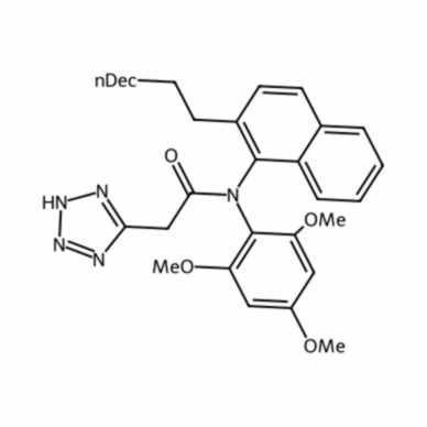 CCCCCCCCCCCCc1ccc2ccccc2c1N(C(=O)Cc1nn[nH]n1)c1c(OC)cc(OC)cc1OC